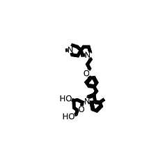 Cc1cccc2c1c(Cc1ccc(OCCCN3CCCC4(CCN(C)CC4)C3)cc1)cn2[C@H]1CC(O)CC(CO)O1